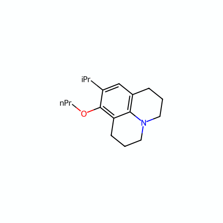 CCCOc1c(C(C)C)cc2c3c1CCCN3CCC2